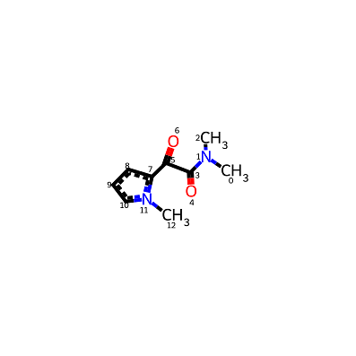 CN(C)C(=O)C(=O)c1cccn1C